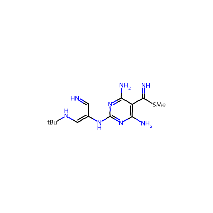 CSC(=N)c1c(N)nc(N/C(C=N)=C/NC(C)(C)C)nc1N